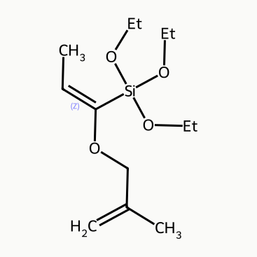 C=C(C)CO/C(=C/C)[Si](OCC)(OCC)OCC